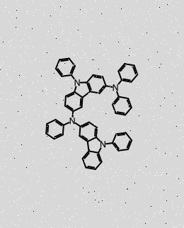 c1ccc(N(c2ccccc2)c2ccc3c(c2)c2cc(N(c4ccccc4)c4ccc5c(c4)c4ccccc4n5-c4ccccc4)ccc2n3-c2ccccc2)cc1